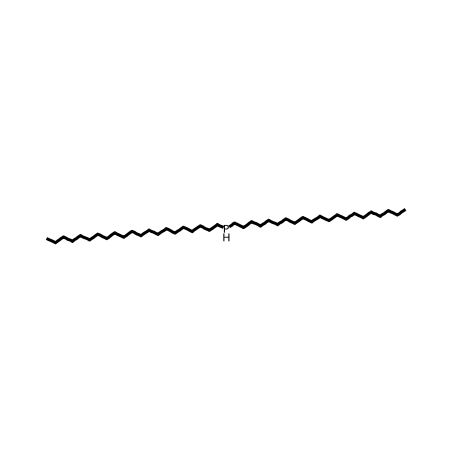 CCCCCCCCCCCCCCCCCCCCCPCCCCCCCCCCCCCCCCCCCCC